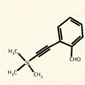 C[Si](C)(C)C#Cc1ccccc1C=O